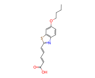 CCCCOc1ccc2nc(/C=C/C=C/C(=O)O)sc2c1